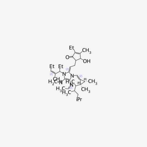 C=NC1=C(/N=C\C)N(/C=C2/[C@H](C)[C@@]2(C)C(C)C(C)CC(C)C)/C(=C\CC2C(=O)C(CC)=C(C)C2O)N1C(CC)/C(C)=C\CC